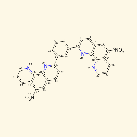 O=[N+]([O-])c1cc2ccc(-c3cccc(-c4ccc5cc([N+](=O)[O-])c6cccnc6c5n4)c3)nc2c2ncccc12